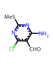 CSc1nc(N)c(C=O)c(Cl)n1